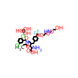 CCC(=O)N(CC(Cc1ccc(C(F)(F)F)cc1)C[C@@H](N)C(=O)O)C(=O)c1cc(Cl)ccc1Cl.OB(O)O.OCCONOCCO